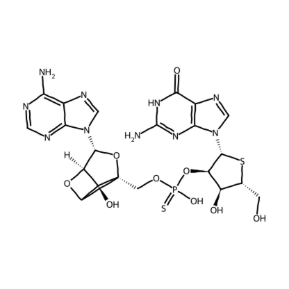 Nc1nc2c(ncn2[C@@H]2S[C@H](CO)[C@@H](O)[C@H]2OP(O)(=S)OC[C@]23O[C@@H](n4cnc5c(N)ncnc54)[C@@H]4OC2[C@]43O)c(=O)[nH]1